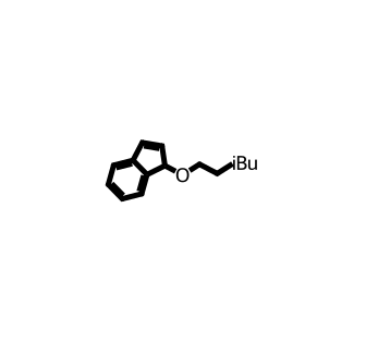 CCC(C)CCOC1C=Cc2ccccc21